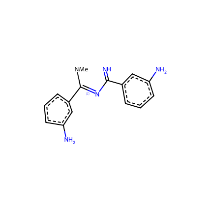 CN/C(=N\C(=N)c1cccc(N)c1)c1cccc(N)c1